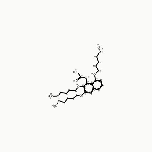 COCCCCOc1cc2cccc(OCCCCOC)c2c(OC(C)=O)c1OCCCCOC